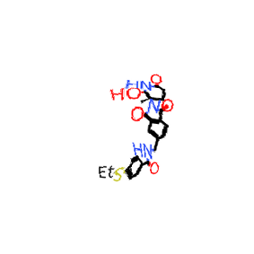 CCSc1ccc(C(=O)NCc2ccc3c(c2)C(=O)N([C@@]2(C)CCC(=O)NC2O)C3=O)cc1